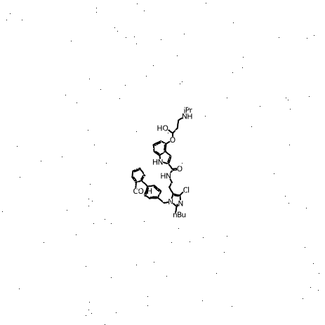 CCCCc1nc(Cl)c(CCNC(=O)c2cc3c(OC(O)CCNC(C)C)cccc3[nH]2)n1Cc1ccc(-c2ccccc2C(=O)O)cc1